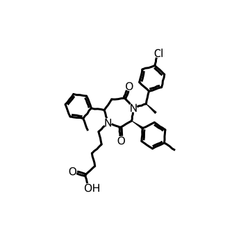 Cc1ccc([C@H]2C(=O)N(CCCCC(=O)O)C(c3ccccc3C)CC(=O)N2[C@H](C)c2ccc(Cl)cc2)cc1